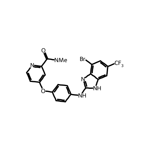 CNC(=O)c1cc(Oc2ccc(Nc3nc4c(Br)cc(C(F)(F)F)cc4[nH]3)cc2)ccn1